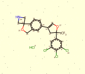 Cl.FC(F)(F)C1(c2cc(Cl)c(Cl)c(Cl)c2)CC(c2ccc3c(c2)COC32CNC2)=CO1